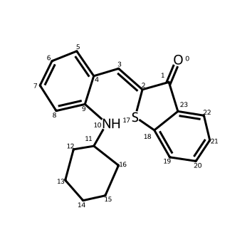 O=C1C(=Cc2ccccc2NC2CCCCC2)Sc2ccccc21